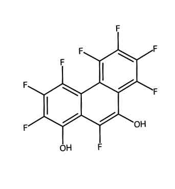 Oc1c(F)c2c(O)c(F)c(F)c(F)c2c2c(F)c(F)c(F)c(F)c12